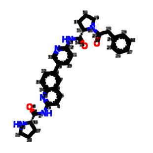 O=C(Nc1ccc2cc(-c3ccc(NC(=O)[C@@H]4CCCN4C(=O)Cc4ccccc4)nc3)ccc2n1)[C@@H]1CCCN1